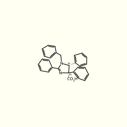 O=C(O)[C@]1(c2ccccc2)N=C(c2ccccc2)N(Cc2ccccc2)[C@@H]1c1ccccc1